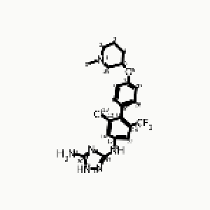 CN1CCCC(Oc2ccc(-c3c(Cl)cc(Nc4n[nH]c(N)n4)cc3C(F)(F)F)cc2)C1